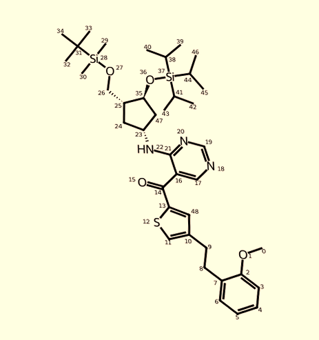 COc1ccccc1CCc1csc(C(=O)c2cncnc2N[C@@H]2C[C@H](CO[Si](C)(C)C(C)(C)C)[C@@H](O[Si](C(C)C)(C(C)C)C(C)C)C2)c1